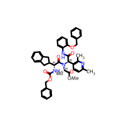 CC[C@H](C)[C@H](C(=O)OC)N(C(=O)[C@H](NC(=O)OCc1ccccc1)C1Cc2ccccc2C1)[C@@H](C(=O)Nc1ccccc1OCc1ccccc1)c1ccc(C)nc1C